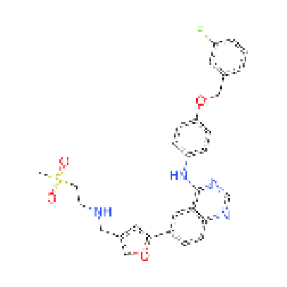 CS(=O)(=O)CCNCc1coc(-c2ccc3ncnc(Nc4ccc(OCc5cccc(F)c5)cc4)c3c2)c1